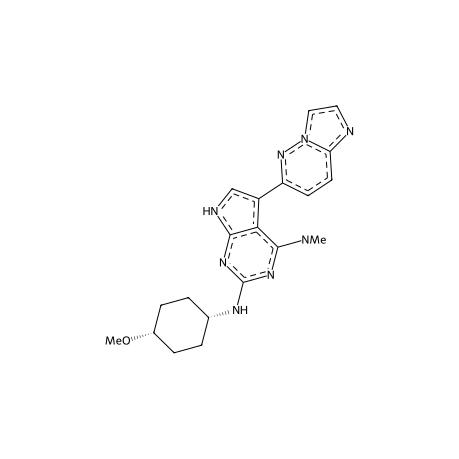 CNc1nc(N[C@H]2CC[C@@H](OC)CC2)nc2[nH]cc(-c3ccc4nccn4n3)c12